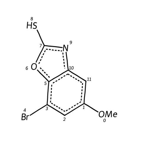 COc1cc(Br)c2oc(S)nc2c1